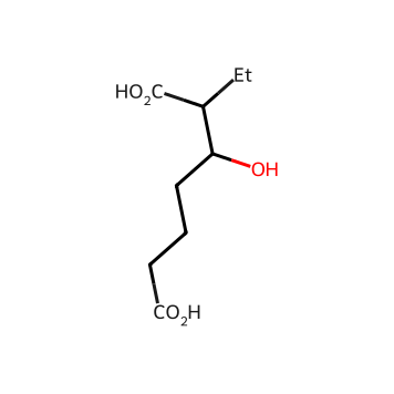 CCC(C(=O)O)C(O)CCCC(=O)O